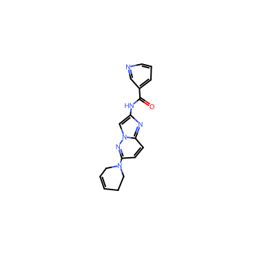 O=C(Nc1cn2nc(N3CC=CCC3)ccc2n1)c1cccnc1